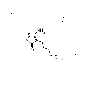 CCCCCc1c(N)ssc1=O